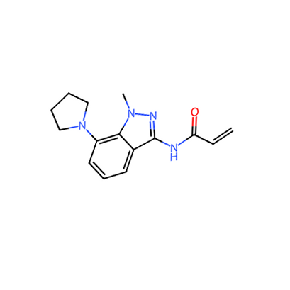 C=CC(=O)Nc1nn(C)c2c(N3CCCC3)cccc12